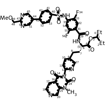 CCC(CC)OC(=O)[C@H](CCc1ccc(-n2c(=O)c3ccncc3n(C)c2=O)nc1)NC(=O)c1cc(F)c(NS(=O)(=O)c2ccc(-c3cnc(COC)nc3)cc2)cc1F